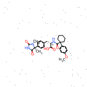 COc1ccc(C2(C(=O)N[C@@H](Cc3ccc([C@@]4(C)C(=O)NC(=O)N4C)cc3)C(=O)O)CCCCC2)cc1